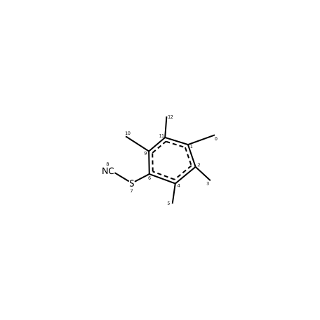 Cc1c(C)c(C)c(SC#N)c(C)c1C